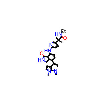 C=Nc1c(/C(=C\C)c2ccc(Nc3ccc(C(C)(C)C(=O)NCC)cn3)c3c2CNC3=O)ccn1C